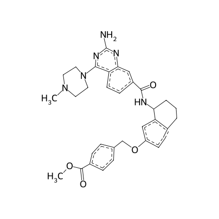 COC(=O)c1ccc(COc2ccc3c(c2)C(NC(=O)c2ccc4c(N5CCN(C)CC5)nc(N)nc4c2)CCC3)cc1